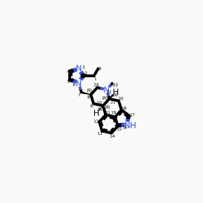 CCc1nccn1C[C@@H]1C[C@@H]2c3cccc4[nH]cc(c34)C[C@H]2N(C)C1